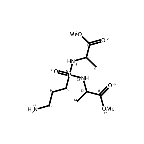 COC(=O)C(C)NP(=O)(CCCN)NC(C)C(=O)OC